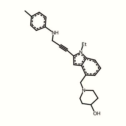 CCn1c(C#CCNc2ccc(C)cc2)cc2c(CN3CCC(O)CC3)cccc21